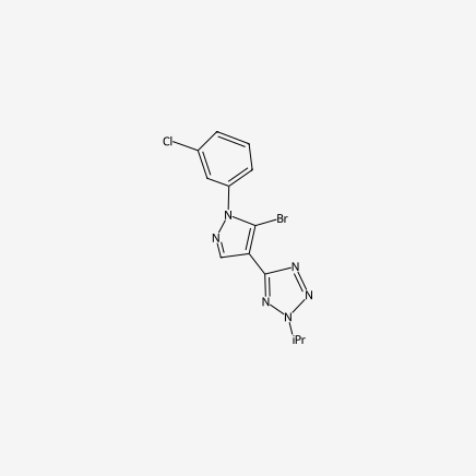 CC(C)n1nnc(-c2cnn(-c3cccc(Cl)c3)c2Br)n1